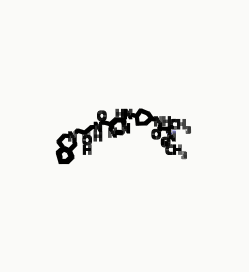 CO/N=C(/C)C(=O)NC1CCC(Nc2cc(C(=O)NC[C@H](O)CN3CCc4ccccc4C3)ncn2)CC1